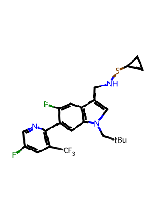 CC(C)(C)Cn1cc(CNSC2CC2)c2cc(F)c(-c3ncc(F)cc3C(F)(F)F)cc21